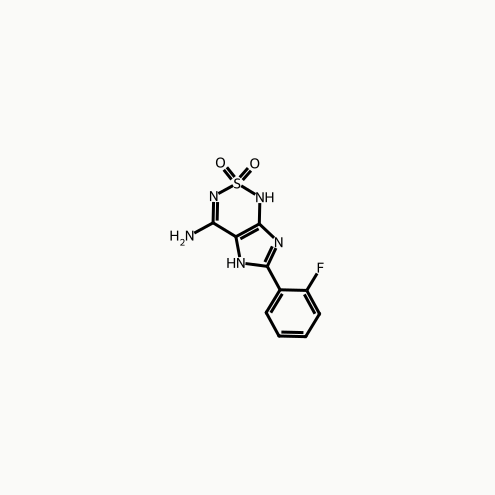 NC1=NS(=O)(=O)Nc2nc(-c3ccccc3F)[nH]c21